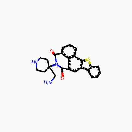 NCC1(N2C(=O)c3cccc4c3c(cc3c5ccccc5sc43)C2=O)CCNCC1